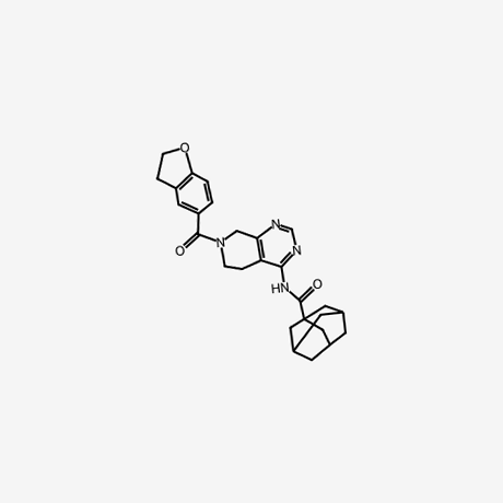 O=C(c1ccc2c(c1)CCO2)N1CCc2c(ncnc2NC(=O)C23CC4CC(CC(C4)C2)C3)C1